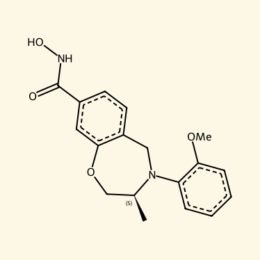 COc1ccccc1N1Cc2ccc(C(=O)NO)cc2OC[C@@H]1C